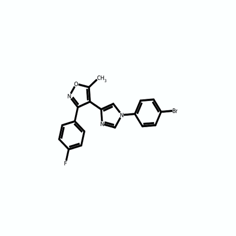 Cc1onc(-c2ccc(F)cc2)c1-c1cn(-c2ccc(Br)cc2)cn1